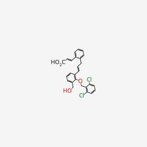 O=C(O)/C=C/c1ccccc1C/C=C/c1cccc(CO)c1OCc1c(Cl)cccc1Cl